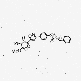 COC(=O)C(NC(=O)c1cc(-c2ccc(NC(=O)NCc3ccccc3)cc2)no1)C(C)C